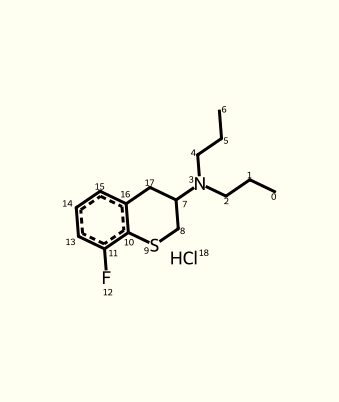 CCCN(CCC)C1CSc2c(F)cccc2C1.Cl